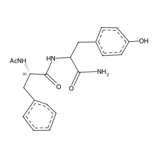 CC(=O)N[C@@H](Cc1ccccc1)C(=O)NC(Cc1ccc(O)cc1)C(N)=O